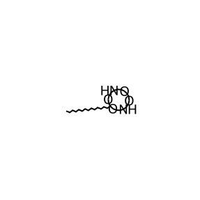 CCCCCCCCCCCCCCC1COCCNCCOCCOCCNCCO1